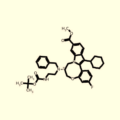 COC(=O)c1ccc2c(C3CCCCC3)c3n(c2c1)C[C@@H](N(CCNC(=O)OC(C)(C)C)Cc1ccccc1)COc1cc(F)ccc1-3